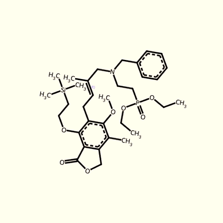 CCOP(=O)(CCN(C/C(C)=C/Cc1c(OC)c(C)c2c(c1OCC[Si](C)(C)C)C(=O)OC2)Cc1ccccc1)OCC